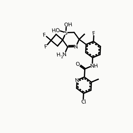 Cc1cc(Cl)cnc1C(=O)Nc1ccc(F)c(C2(C)CS(O)(O)C3(CC(F)(F)C3)C(N)=N2)c1